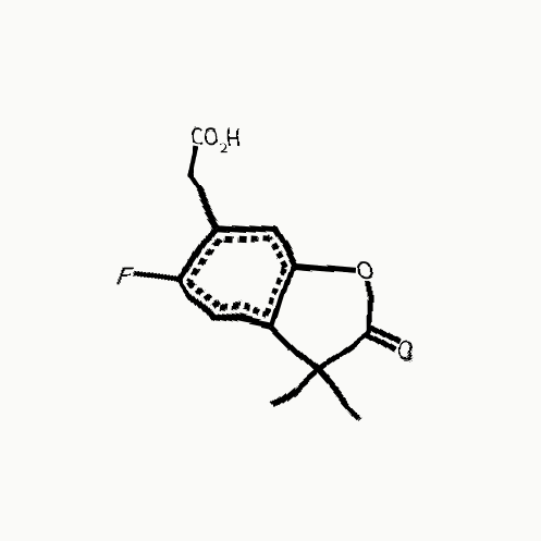 CC1(C)C(=O)Oc2cc(CC(=O)O)c(F)cc21